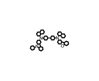 c1ccc(-n2c3ccccc3c3cc(N(c4ccc(-c5ccc(N(c6ccc7oc8ccccc8c7c6)c6cccc7ccccc67)cc5)cc4)c4cccc5ccccc45)ccc32)cc1